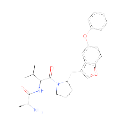 CC(C)[C@H](NC(=O)[C@H](C)N)C(=O)N1CCC[C@H]1Cc1coc2ccc(Oc3ccccc3)cc12